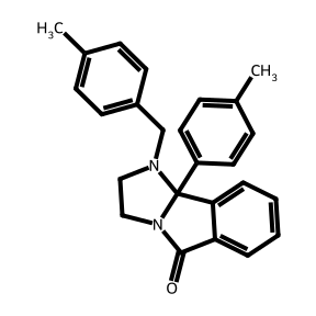 Cc1ccc(CN2CCN3C(=O)c4ccccc4C23c2ccc(C)cc2)cc1